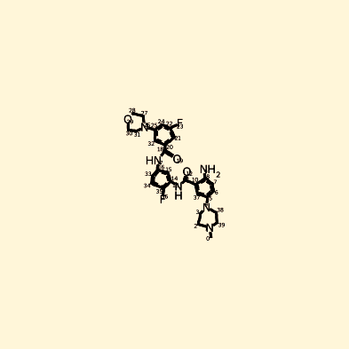 CN1CCN(c2ccc(N)c(C(=O)Nc3cc(NC(=O)c4cc(F)cc(N5CCOCC5)c4)ccc3F)c2)CC1